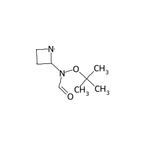 CC(C)(C)ON(C=O)C1CC[N]1